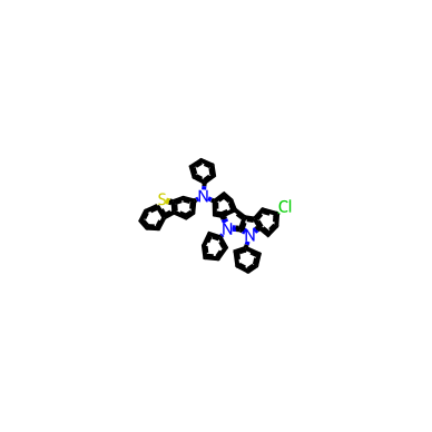 Clc1ccc2c(c1)c1c3ccc(N(c4ccccc4)c4ccc5c(c4)sc4ccccc45)cc3n(-c3ccccc3)c1n2-c1ccccc1